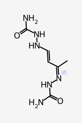 C/C(C=CNNC(N)=O)=N/NC(N)=O